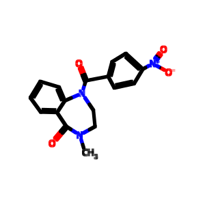 CN1CCN(C(=O)c2ccc([N+](=O)[O-])cc2)c2ccccc2C1=O